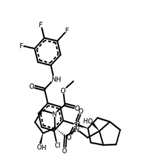 COC(=O)N1CC[C@H](O)[C@H]1C(=O)NC[C@]1(O)C2CCC1C[C@@H](S(=O)(=O)c1cc(C(=O)Nc3cc(F)c(F)c(F)c3)ccc1Cl)C2